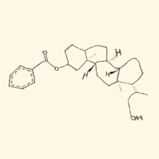 CC(CO)[C@H]1CC[C@H]2[C@@H]3CCC4CCC(OC(=O)c5ccccc5)C[C@]4(C)[C@H]3CC[C@]12C